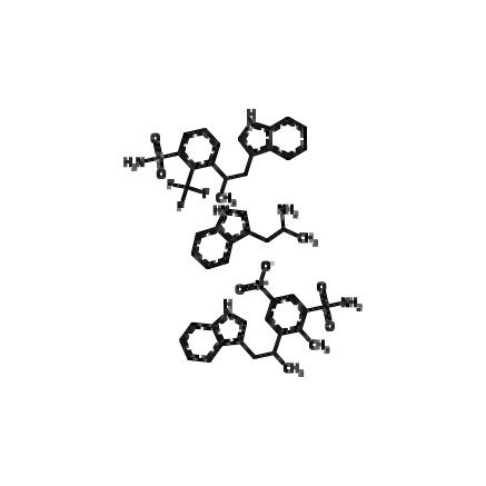 CC(Cc1c[nH]c2ccccc12)c1cccc(S(N)(=O)=O)c1C(F)(F)F.CC(N)Cc1c[nH]c2ccccc12.Cc1c(C(C)Cc2c[nH]c3ccccc23)cc([N+](=O)[O-])cc1S(N)(=O)=O